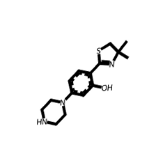 CC1(C)CSC(c2ccc(N3CCNCC3)cc2O)=N1